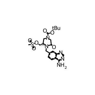 CC(C)(C)OC(=O)N1CC(=O)N(Cc2ccc3c(N)ncnc3c2)[C@@H](COS(C)(=O)=O)C1